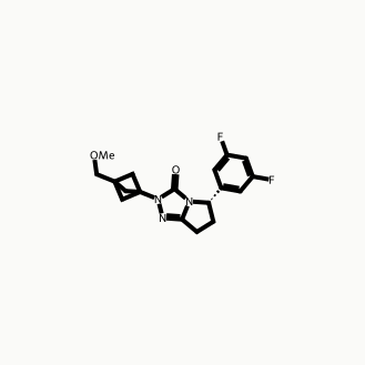 COCC12CC(n3nc4n(c3=O)[C@H](c3cc(F)cc(F)c3)CC4)(C1)C2